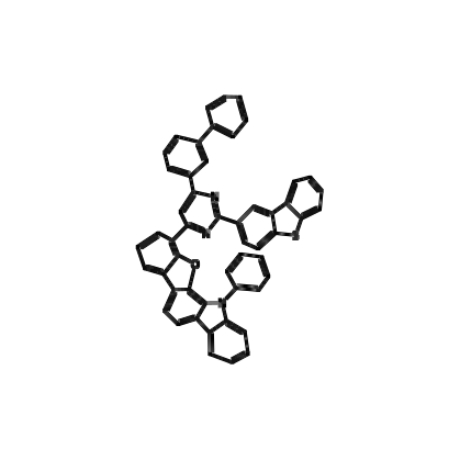 c1ccc(-c2cccc(-c3cc(-c4cccc5c4oc4c5ccc5c6ccccc6n(-c6ccccc6)c54)nc(-c4ccc5sc6ccccc6c5c4)n3)c2)cc1